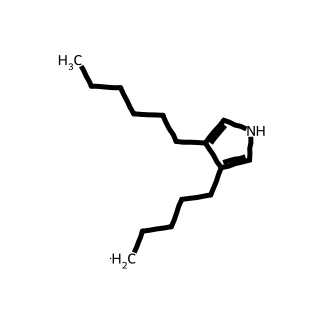 [CH2]CCCCc1c[nH]cc1CCCCCC